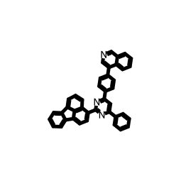 c1ccc(-c2cc(-c3ccc(-c4cncc5ccccc45)cc3)nc(-c3ccc4c5c(cccc35)-c3ccccc3-4)n2)cc1